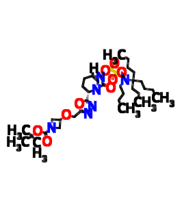 CCCCN(OS(=O)(=O)ON1C(=O)N2C[C@@H]1CC[C@H]2c1nnc(COC2CN(C(=O)OC(C)(C)C)C2)o1)C(CCC)(CCCC)CCCC